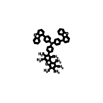 Bc1c(B)c(B)c2c(oc3c(B)c(B)c(-c4ccc(N(c5ccc(-c6cccc7oc8ccccc8c67)cc5)c5ccc(-c6cccc7oc8ccccc8c67)cc5)cc4)c(B)c32)c1B